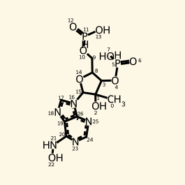 CC1(O)C(O[PH](=O)O)C(CO[PH](=O)O)OC1n1cnc2c(NO)ncnc21